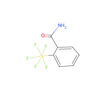 NC(=O)c1ccccc1S(F)(F)(F)(F)F